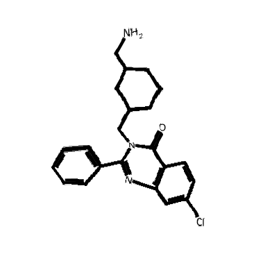 NCC1CCCC(Cn2c(-c3ccccc3)nc3cc(Cl)ccc3c2=O)C1